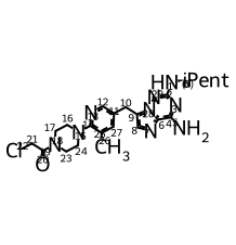 CCC[C@H](C)Nc1nc(N)c2ncc(Cc3cnc(N4CCN(C(=O)CCl)CC4)c(C)c3)n2n1